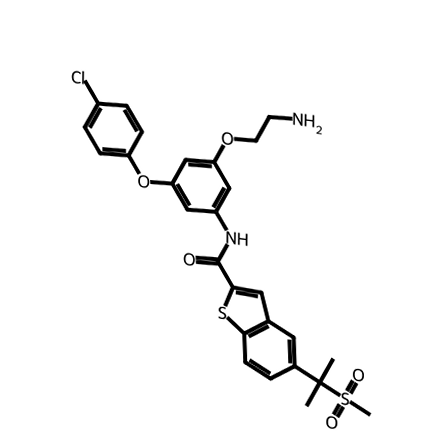 CC(C)(c1ccc2sc(C(=O)Nc3cc(OCCN)cc(Oc4ccc(Cl)cc4)c3)cc2c1)S(C)(=O)=O